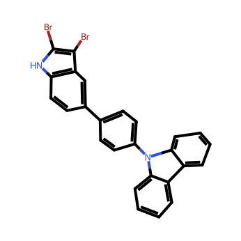 Brc1[nH]c2ccc(-c3ccc(-n4c5ccccc5c5ccccc54)cc3)cc2c1Br